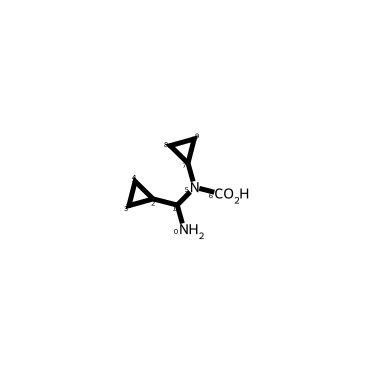 NC(C1CC1)N(C(=O)O)C1CC1